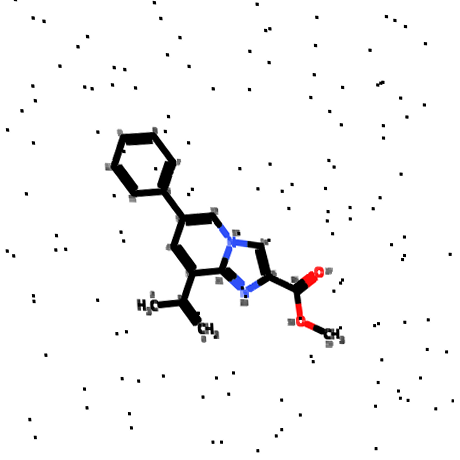 C=C(C)c1cc(-c2ccccc2)cn2cc(C(=O)OC)nc12